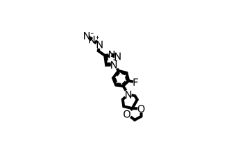 [N-]=[N+]=NCc1cn(-c2ccc(N3CCC4(CC3)OCCO4)c(F)c2)nn1